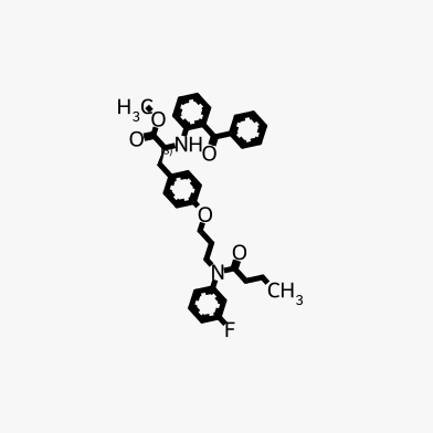 CCCC(=O)N(CCCOc1ccc(C[C@H](Nc2ccccc2C(=O)c2ccccc2)C(=O)OC)cc1)c1cccc(F)c1